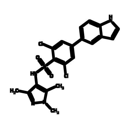 Cc1nn(C)c(C)c1NS(=O)(=O)c1c(Cl)cc(-c2ccc3[nH]ccc3c2)cc1Cl